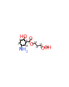 Nc1ccc(O)c(C(=O)OCCCOO)c1